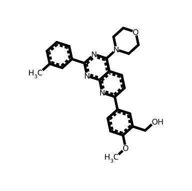 COc1ccc(-c2ccc3c(N4CCOCC4)nc(-c4cccc(C)c4)nc3n2)cc1CO